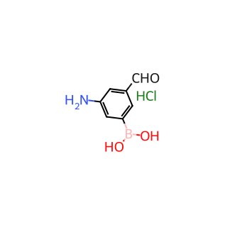 Cl.Nc1cc(C=O)cc(B(O)O)c1